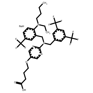 CCCCN(CC)c1ccc(C(F)(F)F)cc1CN(Cc1cc(C(F)(F)F)cc(C(F)(F)F)c1)c1ncc(OCCCC(=O)O)cn1.[NaH]